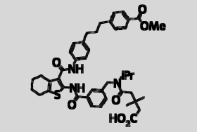 COC(=O)c1ccc(CCCc2ccc(NC(=O)c3c(NC(=O)c4cccc(CN(C(=O)CC(C)(C)CC(=O)O)C(C)C)c4)sc4c3CCCC4)cc2)cc1